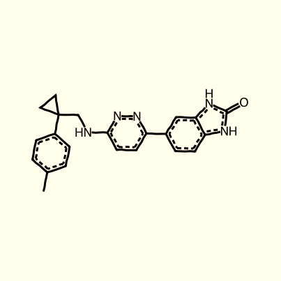 Cc1ccc(C2(CNc3ccc(-c4ccc5[nH]c(=O)[nH]c5c4)nn3)CC2)cc1